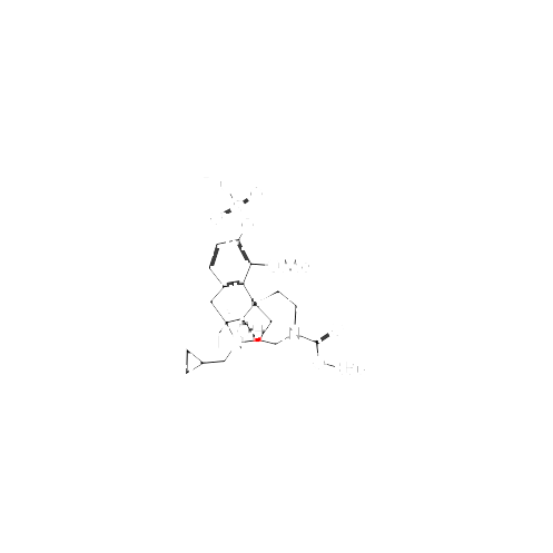 COc1c(OS(=O)(=O)C(F)(F)F)ccc2c1[C@@]13CCN(C(=O)OC(C)(C)C)CC[C@@]1(O)[C@@H](C2)N(CC1CC1)CC3